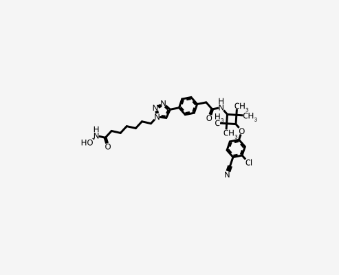 CC1(C)C(NC(=O)Cc2ccc(-c3cn(CCCCCCC(=O)NO)nn3)cc2)C(C)(C)C1Oc1ccc(C#N)c(Cl)c1